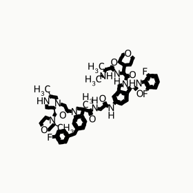 CNC(C)C(=O)NC(C(=O)N1Cc2cc(NC(=O)CNC(=O)[C@]3(C)CN(C(=O)CN4C[C@@H](C)NC[C@@H]4CN4CCOC[C@H]4C)c4cc(Cc5ccc(F)cc5)ccc43)ccc2[C@H]1C(=O)Nc1c(F)cccc1F)C1CCOCC1